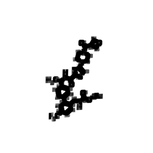 C[C@@H](NC(=O)c1nc(N2CCN(C(=O)C3COC3)CC2)cs1)c1ccc(-c2cc(C(F)(F)F)ccc2CNC(=O)OC(C)(C)C)cc1